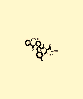 COC(=O)[C@@H](NC(=O)C1(Cc2ccc(C)cc2)CCCN1C(=O)C1CCCN1C(=O)O)[C@@H](C)OC(C)=O